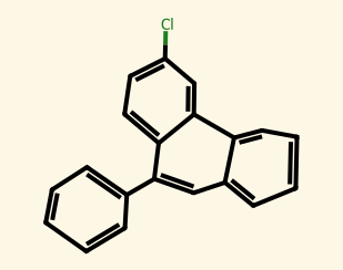 Clc1ccc2c(-c3ccccc3)cc3ccccc3c2c1